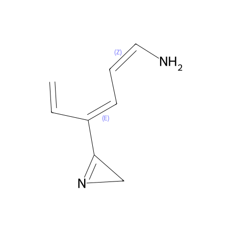 C=C/C(=C\C=C/N)C1=NC1